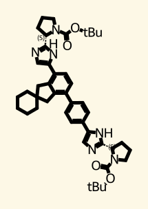 CC(C)(C)OC(=O)N1CCC[C@H]1c1ncc(-c2ccc(-c3ccc(-c4cnc([C@@H]5CCCN5C(=O)OC(C)(C)C)[nH]4)c4c3CC3(CCCCC3)C4)cc2)[nH]1